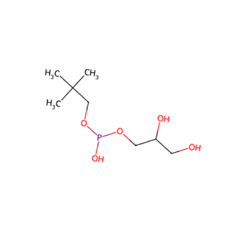 CC(C)(C)COP(O)OCC(O)CO